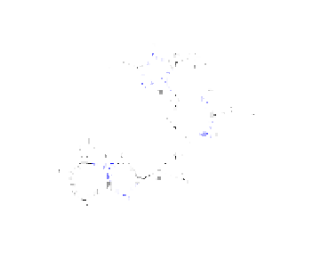 Cc1nc([C@@H]2C[C@H]2c2cn3c(C)cccc3n2)cc(-n2nc(C)nc2C)n1